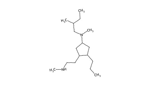 CCCC1CC(N(C)CC(C)CC)CC1CCNC